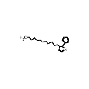 CCCCCCCCCCCCc1c[c]sc1-c1ccccc1